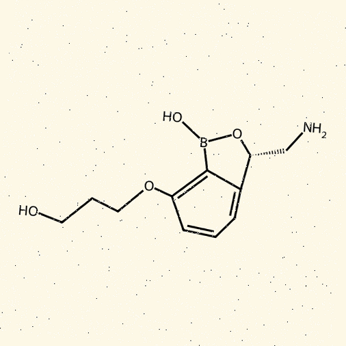 NC[C@H]1OB(O)c2c(OCCCO)cccc21